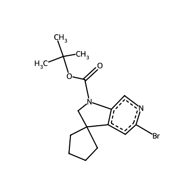 CC(C)(C)OC(=O)N1CC2(CCCC2)c2cc(Br)ncc21